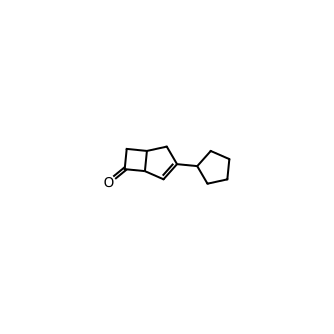 O=C1CC2CC(C3CCCC3)=CC12